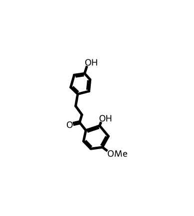 COc1ccc(C(=O)CCc2ccc(O)cc2)c(O)c1